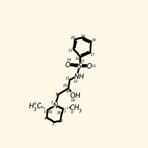 C[C@@H]1CCC[C@H](C)N1C[C@H](O)CNS(=O)(=O)c1ccccc1